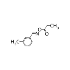 CCC(=O)ON=Cc1cccc(C)c1